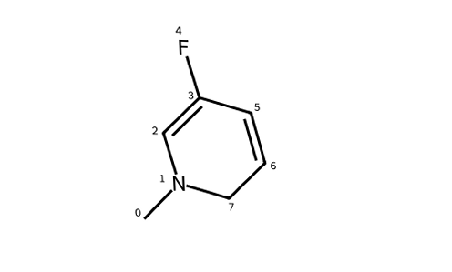 CN1C=C(F)C=CC1